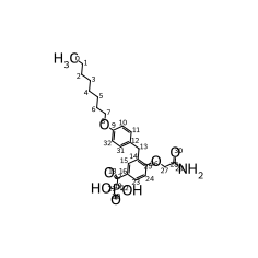 CCCCCCCCOc1ccc(Cc2cc(C(=O)P(=O)(O)O)ccc2OCC(N)=O)cc1